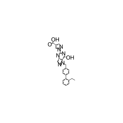 CCc1ccccc1-c1ccc(Cn2ncc3nc(-n4cc(C(=O)O)cn4)nc(O)c32)cc1